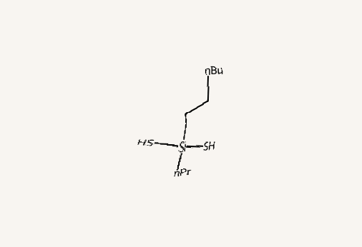 CCCCCC[Si](S)(S)CCC